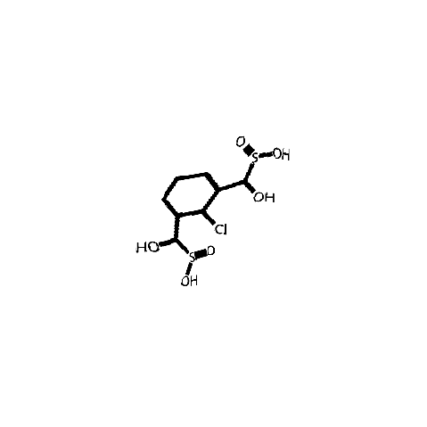 O=S(O)C(O)C1CCCC(C(O)S(=O)O)C1Cl